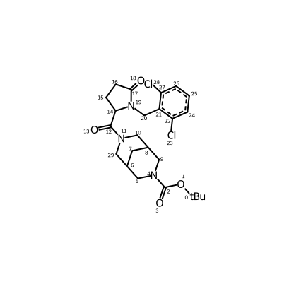 CC(C)(C)OC(=O)N1CC2CC(C1)CN(C(=O)C1CCC(=O)N1Cc1c(Cl)cccc1Cl)C2